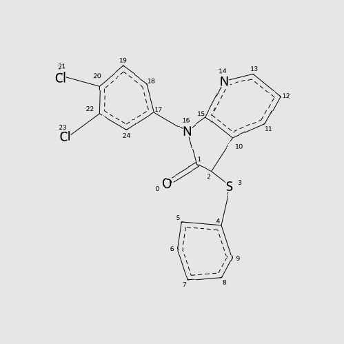 O=C1C(Sc2ccccc2)c2cccnc2N1c1ccc(Cl)c(Cl)c1